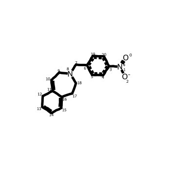 O=[N+]([O-])c1ccc(CN2CC=C3CC=CC=C3CC2)cc1